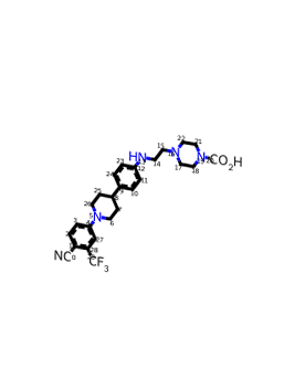 N#Cc1ccc(N2CCC(c3ccc(NCCN4CCN(C(=O)O)CC4)cc3)CC2)cc1C(F)(F)F